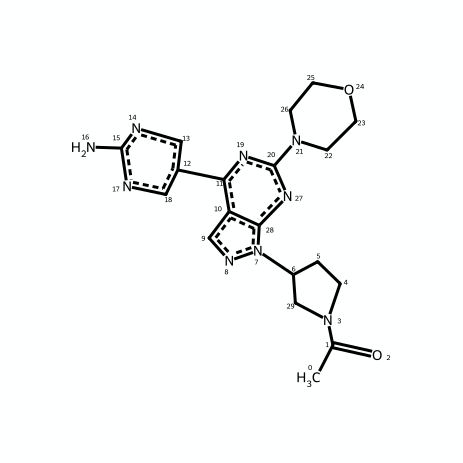 CC(=O)N1CCC(n2ncc3c(-c4cnc(N)nc4)nc(N4CCOCC4)nc32)C1